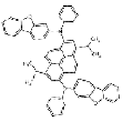 CC(C)c1cc(N(c2ccccc2)c2ccc3c(c2)oc2ccccc23)c2ccc3c(C(C)C)cc(N(c4ccccc4)c4ccc5c(c4)oc4ccccc45)c4ccc1c2c34